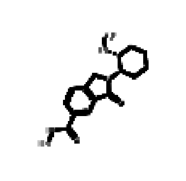 NNC(=O)c1ccc2c(c1)C(=O)N([C@@H]1CCCC[C@H]1NC(=O)O)C2